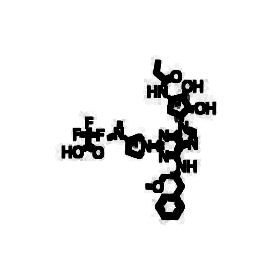 CCC(=O)N[C@H]1C[C@@H](n2cnc3c(N[C@H](COC)Cc4ccccc4)nc(N4CC[C@@H](N(C)C)C4)nc32)[C@H](O)[C@@H]1O.O=C(O)C(F)(F)F